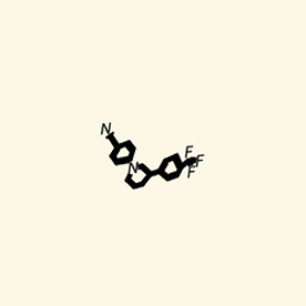 N#Cc1ccc(N2CCCC(c3ccc(C(F)(F)F)cc3)C2)cc1